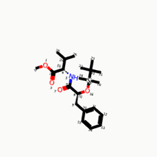 COC(=O)[C@@H](NC(=O)[C@H](Cc1ccccc1)O[Si](C)(C)C(C)(C)C)C(C)C